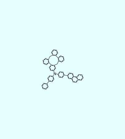 c1ccc(-c2ccc(N(c3ccc(-c4ccc5c(ccc6ccccc65)c4)cc3)c3ccc4c(c3)Cc3ccccc3-c3ccccc3Cc3ccccc3-4)cc2)cc1